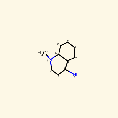 CN1CCC([NH])C2CCCCC21